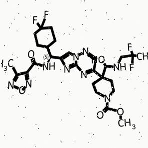 COC(=O)N1CCC(c2cnn3cc([C@@H](NC(=O)c4nonc4C)C4CCC(F)(F)CC4)nc3n2)(C(O)NCC(C)(F)F)CC1